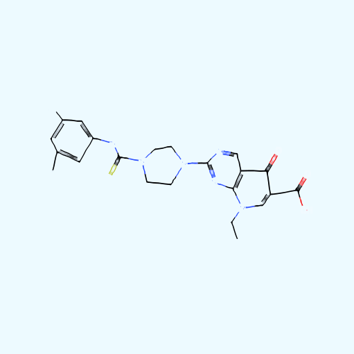 CCn1cc(C(=O)O)c(=O)c2cnc(N3CCN(C(=S)Nc4cc(C)cc(C)c4)CC3)nc21